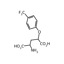 NC(CC(Oc1ccc(C(F)(F)F)cc1)C(=O)O)C(=O)O